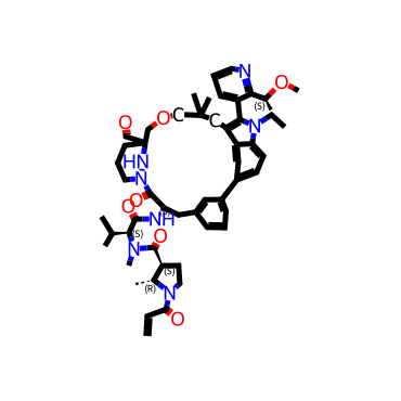 C=CC(=O)N1CC[C@H](C(=O)N(C)[C@H](C(=O)N[C@H]2Cc3cccc(c3)-c3ccc4c(c3)c(c(-c3cccnc3[C@H](C)OC)n4CC)CC(C)(C)COCC3(C=O)CCCN(N3)C2=O)C(C)C)[C@H]1C